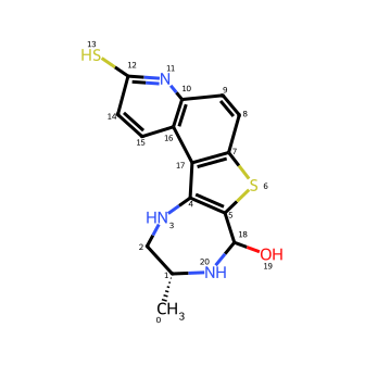 C[C@@H]1CNc2c(sc3ccc4nc(S)ccc4c23)C(O)N1